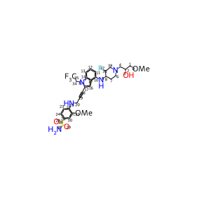 COCC(O)CN1CCC(Nc2cccc3c2cc(C#CCNc2ccc(S(N)(=O)=O)cc2OC)n3CC(F)(F)F)C(F)C1